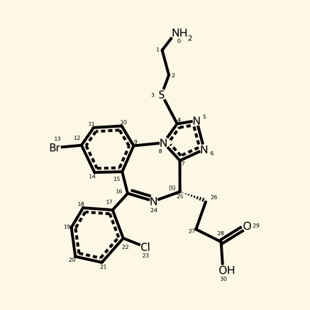 NCCSc1nnc2n1-c1ccc(Br)cc1C(c1ccccc1Cl)=N[C@H]2CCC(=O)O